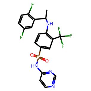 CC(Nc1ccc(S(=O)(=O)Nc2ccncn2)cc1C(F)(F)F)c1cc(F)ccc1F